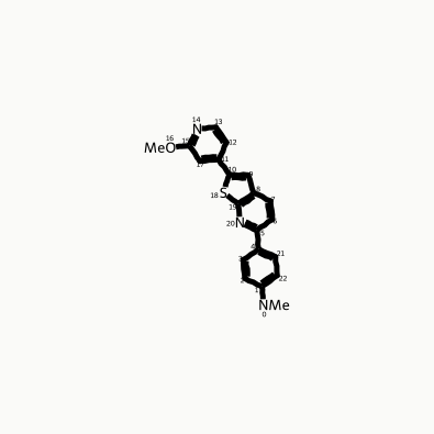 CNc1ccc(-c2ccc3cc(-c4ccnc(OC)c4)sc3n2)cc1